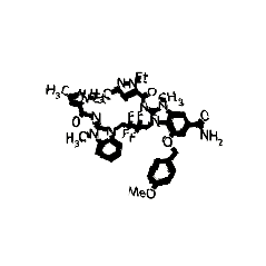 CCn1nc(C)cc1C(=O)/N=c1\n(C)c2ccccc2n1CC(F)(F)C(F)(F)Cn1/c(=N/C(=O)c2cc(C)nn2CC)n(C)c2cc(C(N)=O)cc(OCc3ccc(OC)cc3)c21